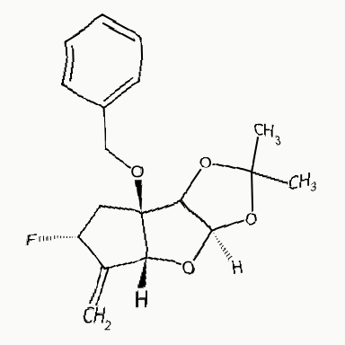 C=C1[C@H](F)C[C@]2(OCc3ccccc3)C3OC(C)(C)O[C@H]3O[C@H]12